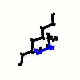 CCCCCCCC.NNS(=O)(=O)O